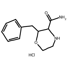 Cl.NC(=O)C1NCCOC1Cc1ccccc1